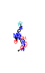 O=C(c1cnc(C2CC2)o1)N1CCC(O)(Cn2cnc3c(cnn3-c3ccc(-n4cc(C(F)(F)F)cn4)cc3)c2=O)CC1